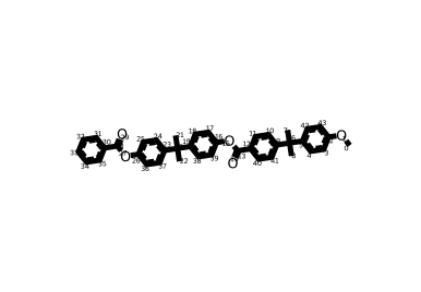 COc1ccc(C(C)(C)c2ccc(C(=O)Oc3ccc(C(C)(C)c4ccc(OC(=O)c5ccccc5)cc4)cc3)cc2)cc1